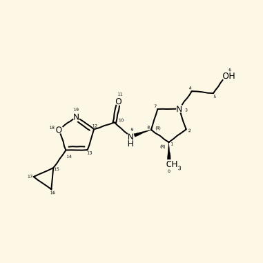 C[C@@H]1CN(CCO)C[C@@H]1NC(=O)c1cc(C2CC2)on1